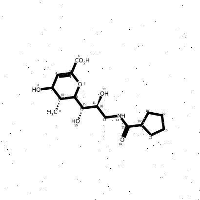 C[C@@H]1C(O)C=C(C(=O)O)OC1[C@@H](O)[C@@H](O)CNC(=O)C1CCCC1